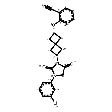 N#Cc1cccnc1O[C@H]1CC2(C1)C[C@H](N1C(=O)CN(c3cccc(Cl)c3)C1=O)C2